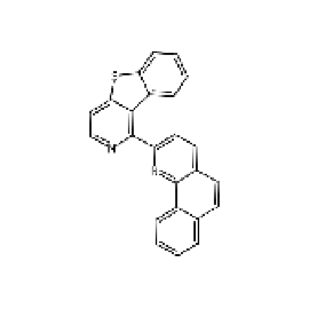 c1ccc2c(c1)ccc1ccc(-c3nccc4sc5ccccc5c34)nc12